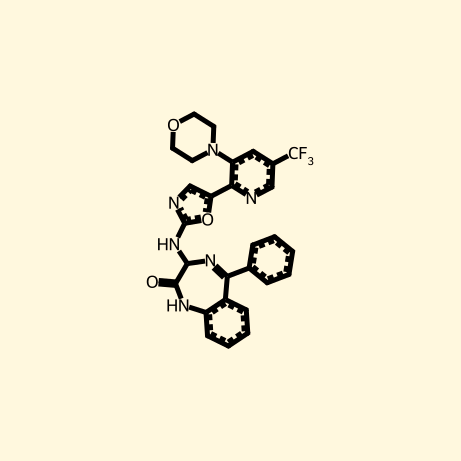 O=C1Nc2ccccc2C(c2ccccc2)=NC1Nc1ncc(-c2ncc(C(F)(F)F)cc2N2CCOCC2)o1